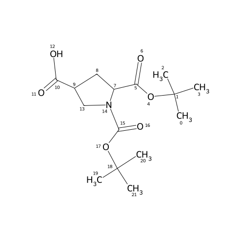 CC(C)(C)OC(=O)C1CC(C(=O)O)CN1C(=O)OC(C)(C)C